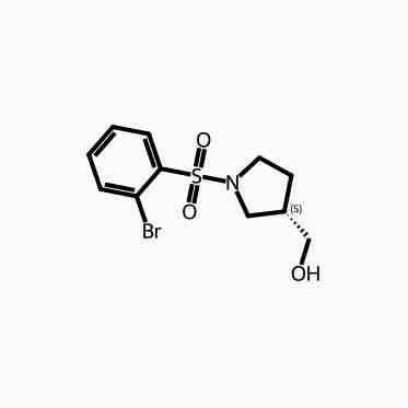 O=S(=O)(c1ccccc1Br)N1CC[C@H](CO)C1